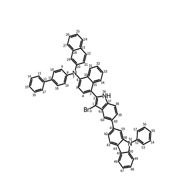 Brc1c(-c2ccc(N(c3ccc(-c4ccccc4)cc3)c3ccc4ccccc4c3)c3ccccc23)[nH]c2ccc(-c3ccc4c5ccccc5n(-c5ccccc5)c4c3)cc12